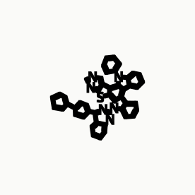 c1ccc(-c2ccc(-c3nc(-n4c5ccccc5c5c6c7ccccc7n(-c7ccccc7)c6c6c7cncnc7sc6c54)nc4ccccc34)cc2)cc1